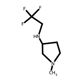 CN1CCC(NCC(F)(F)F)C1